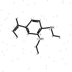 C/C=C(/C)c1ccc(NCC)c(NCC)c1